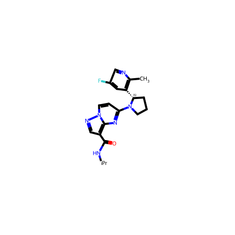 Cc1ncc(F)cc1[C@@H]1CCCN1c1ccn2ncc(C(=O)NC(C)C)c2n1